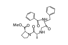 COC(=O)[C@@H]1CCCN1C(=O)[C@H](C)NCC(=O)C(Cc1ccccc1)NC(=O)c1ccccc1